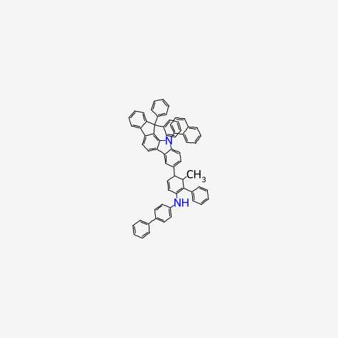 CC1C(c2ccccc2)=C(Nc2ccc(-c3ccccc3)cc2)C=CC1c1ccc2c(c1)c1ccc3c(c1n2-c1cccc2ccccc12)C(c1ccccc1)(c1ccccc1)c1ccccc1-3